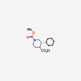 CCOC(=O)C1CCN(C(=O)OC(C)(C)C)C[C@@H]1c1ccccc1